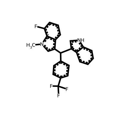 Cn1cc(C(c2ccc(C(F)(F)F)cc2)c2c[nH]c3ccccc23)c2cccc(F)c21